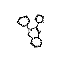 c1ccc(N2Cc3ccccc3N=C2c2cccs2)cc1